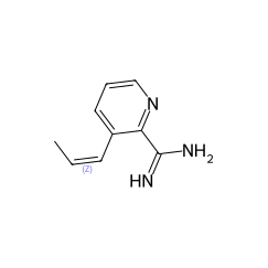 C/C=C\c1cccnc1C(=N)N